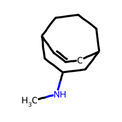 CNC1CC2/C=C\CC(CCC2)C1